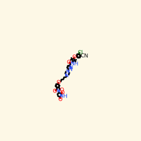 CC1(C)C(NC(=O)c2ccc(N3CCN(CCCCCOc4ccc5c(c4)C(=O)N(C4CCC(=O)NC4=O)C5=O)CC3)nn2)C(C)(C)C1Oc1ccc(C#N)c(Cl)c1